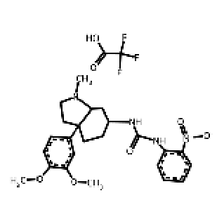 COc1ccc(C23CCC(NC(=O)Nc4ccccc4[N+](=O)[O-])CC2N(C)CC3)cc1OC.O=C(O)C(F)(F)F